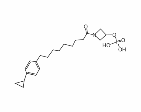 O=C(CCCCCCCCc1ccc(C2CC2)cc1)N1CC(OP(=O)(O)O)C1